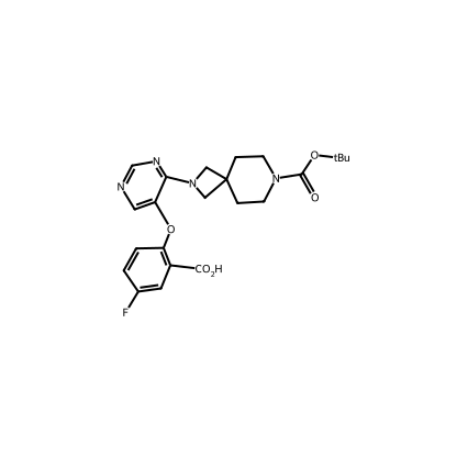 CC(C)(C)OC(=O)N1CCC2(CC1)CN(c1ncncc1Oc1ccc(F)cc1C(=O)O)C2